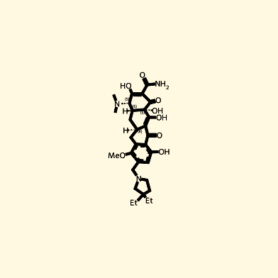 CCC1(CC)CCN(Cc2cc(O)c3c(c2OC)C[C@H]2C[C@H]4[C@H](N(C)C)C(O)=C(C(N)=O)C(=O)[C@@]4(O)C(O)=C2C3=O)C1